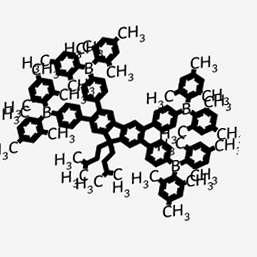 Cc1cc(C)c(B(c2ccc(-c3cc4c(cc3-c3ccc(B(c5c(C)cc(C)cc5C)c5c(C)cc(C)cc5C)cc3)C(CCC(C)C)(CCC(C)C)c3cc(-c5ccc(B(c6c(C)cc(C)cc6C)c6c(C)cc(C)cc6C)cc5)c(-c5ccc(B(c6c(C)cc(C)cc6C)c6c(C)cc(C)cc6C)cc5)cc3-4)cc2)c2c(C)cc(C)cc2C)c(C)c1